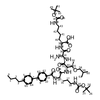 CCCCc1ccc(-c2ccc(C(=O)N[C@@H](CCCNC(=O)OC(C)(C)C)C(=O)N[C@H](C(=O)N[C@@H](N)C(=O)N[C@@H](CCCCNC(=O)OC(C)(C)C)C(=O)O)[C@@H](C)OCC(C)C)cc2)cc1